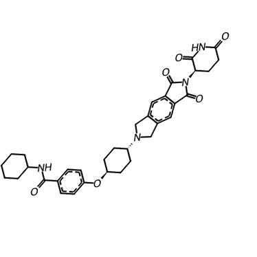 O=C1CC[C@@H](N2C(=O)c3cc4c(cc3C2=O)CN([C@H]2CC[C@H](Oc3ccc(C(=O)NC5CCCCC5)cc3)CC2)C4)C(=O)N1